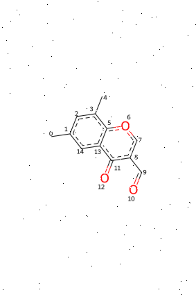 Cc1cc(C)c2occ(C=O)c(=O)c2c1